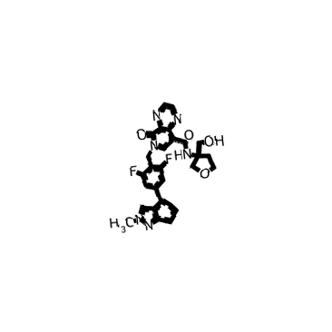 Cn1cc2c(-c3cc(F)c(Cn4cc(C(=O)NC5(CO)CCOC5)c5nccnc5c4=O)c(F)c3)cccc2n1